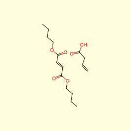 C=CCC(=O)O.CCCCOC(=O)C=CC(=O)OCCCC